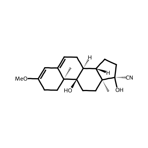 COC1=CC2=CC[C@H]3[C@@H]4CC[C@](O)(C#N)[C@@]4(C)CC[C@]3(O)[C@@]2(C)CC1